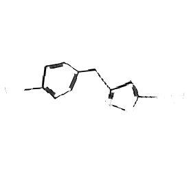 O=C(O)c1cc(Cc2ccc(C(F)(F)F)cc2)no1